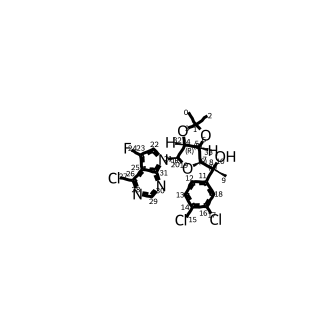 CC1(C)O[C@@H]2[C@H](O1)[C@@H]([C@](C)(O)c1ccc(Cl)c(Cl)c1)O[C@H]2n1cc(F)c2c(Cl)ncnc21